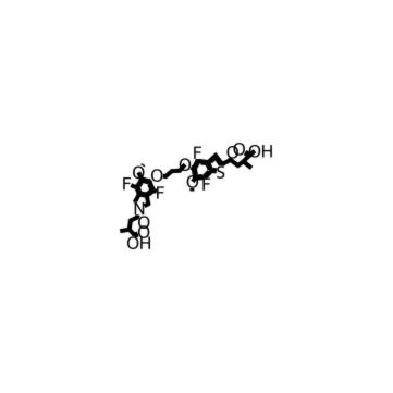 COc1c(F)c2c(c(F)c1OCCCOc1c(OC)c(F)c3sc(C(=O)CC(C)C(=O)O)cc3c1F)CN(C(=O)CC(C)C(=O)O)C2